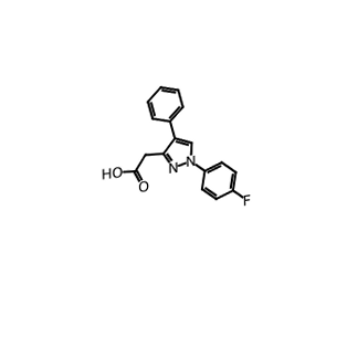 O=C(O)Cc1nn(-c2ccc(F)cc2)cc1-c1ccccc1